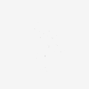 [2H]c1c(OC([2H])([2H])[2H])c(OC([2H])([2H])[2H])c([2H])c2c(N([2H])[2H])nc(N(C([2H])([2H])[2H])C([2H])([2H])C([2H])([2H])C([2H])([2H])N([2H])C(=O)C3CCCO3)nc12